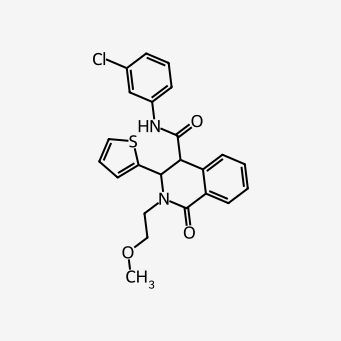 COCCN1C(=O)c2ccccc2C(C(=O)Nc2cccc(Cl)c2)C1c1cccs1